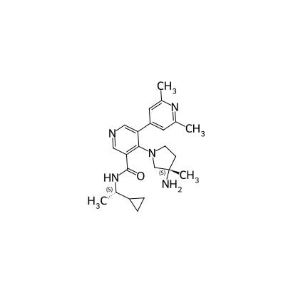 Cc1cc(-c2cncc(C(=O)N[C@@H](C)C3CC3)c2N2CC[C@](C)(N)C2)cc(C)n1